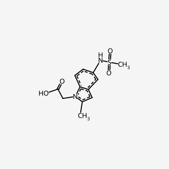 Cc1cc2cc(NS(C)(=O)=O)ccc2n1CC(=O)O